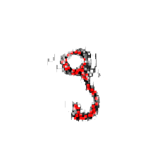 CO[C@H]1C[C@@H]2CC[C@@H](C)[C@@](O)(O2)C(=O)C(=O)N2CCCC[C@H]2C(=O)O[C@H]([C@H](N)C[C@@H]2CC[C@@H](OC(=O)NCc3cnc(N4CCN(CCOCCN5CCN(c6ncc(C(=O)N7CCc8cc(Cn9nc(-c%10ccc%11oc(N)nc%11c%10)c%10c(N)ncnc%109)ccc8C7)cn6)CC5)CC4)nc3)[C@H](OC)C2)C[C@@H](OC)[C@H](C)/C=C(\C)[C@@H](O)[C@@H](O)C(=O)[C@H](C)C[C@H](C)/C=C/C=C/C=C/1C